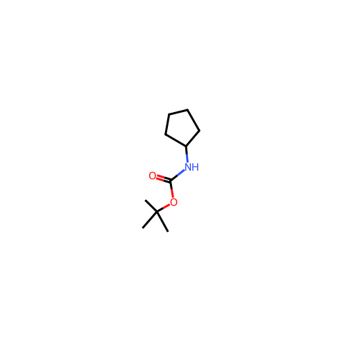 CC(C)(C)OC(=O)NC1CCCC1